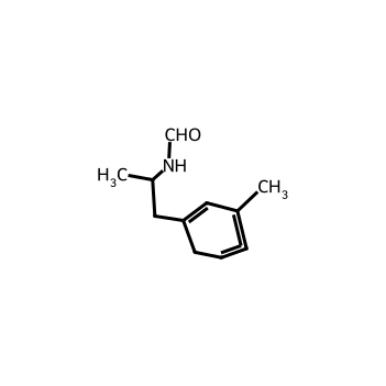 CC1=C=CCC(CC(C)NC=O)=C1